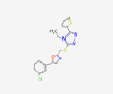 CCn1c(SCc2ncc(-c3cccc(Cl)c3)o2)nnc1-c1cccs1